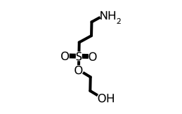 NCCCS(=O)(=O)OCCO